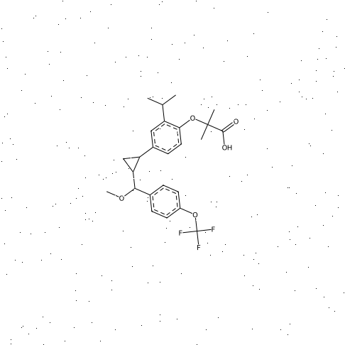 COC(c1ccc(OC(F)(F)F)cc1)C1CC1c1ccc(OC(C)(C)C(=O)O)c(C(C)C)c1